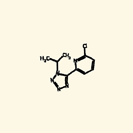 CC(C)n1nnnc1-c1cccc(Cl)n1